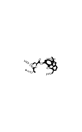 CC(=O)O[C@@H](C)C(=O)O[C@@H](CC(=O)O)C(=O)OC1=CC[C@@]2(O)[C@H]3Cc4ccc(CO)c5c4C2(CCN3C)C1O5